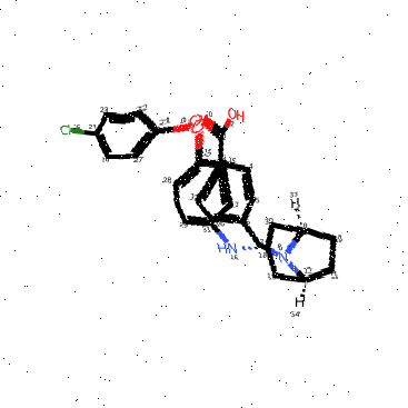 O=C(O)c1ccc(CN2[C@@H]3CC[C@H]2C[C@H](Nc2ccc(Oc4ccc(Cl)cc4)cc2)C3)cc1